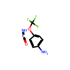 N=C=O.Nc1ccc(OC(F)(F)F)cc1